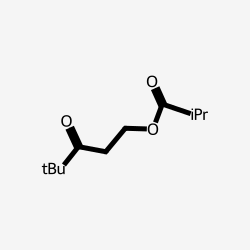 CC(C)C(=O)OCCC(=O)C(C)(C)C